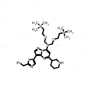 CC(C)Cc1ncc(-c2cnn3c(N(COCC[Si](C)(C)C)COCC[Si](C)(C)C)cc(C4CCCNC4)nc23)s1